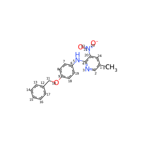 Cc1cnc(Nc2ccc(OCc3ccccc3)cc2)c([N+](=O)[O-])c1